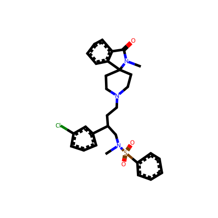 CN1C(=O)c2ccccc2C12CCN(CCC(CN(C)S(=O)(=O)c1ccccc1)c1cccc(Cl)c1)CC2